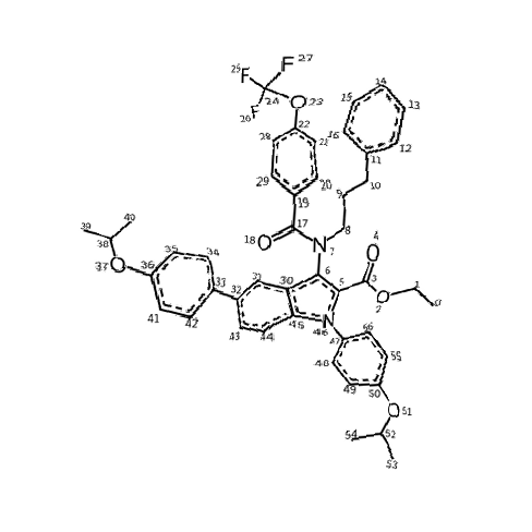 CCOC(=O)c1c(N(CCCc2ccccc2)C(=O)c2ccc(OC(F)(F)F)cc2)c2cc(-c3ccc(OC(C)C)cc3)ccc2n1-c1ccc(OC(C)C)cc1